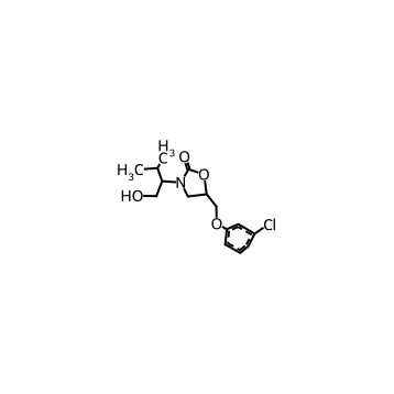 CC(C)C(CO)N1CC(COc2cccc(Cl)c2)OC1=O